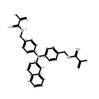 C=C(C)C(=O)OCc1ccc(N(c2ccc(COC(=O)C(=C)C)cc2)c2ccc3ccccc3c2)cc1